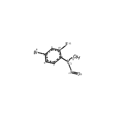 O=NB(O)c1ccc(Br)cc1F